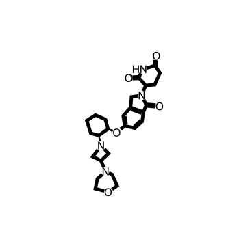 O=C1CCC(N2Cc3cc(O[C@@H]4CCCC[C@@H]4N4CC(N5CCOCC5)C4)ccc3C2=O)C(=O)N1